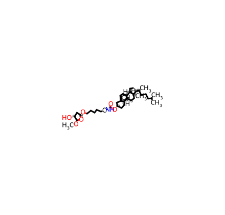 COC1O[C@H](OCCCCCCNC(=O)O[C@H]2CC[C@@]3(C)C(=CC[C@H]4[C@@H]5CC[C@H]([C@H](C)CCCC(C)C)[C@@]5(C)CC[C@@H]43)C2)C[C@H]1O